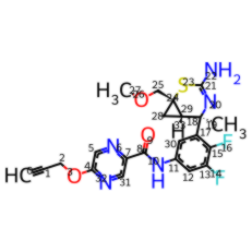 C#CCOc1cnc(C(=O)Nc2cc(F)c(F)c([C@]3(C)N=C(N)S[C@@]4(COC)C[C@H]43)c2)cn1